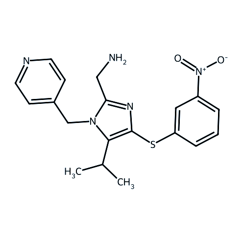 CC(C)c1c(Sc2cccc([N+](=O)[O-])c2)nc(CN)n1Cc1ccncc1